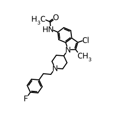 CC(=O)Nc1ccc2c(Cl)c(C)n(C3CCN(CCc4ccc(F)cc4)CC3)c2c1